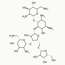 NCC1O[C@H](O[C@@H]2C(N)C[C@@H](N)C(O)[C@H]2O[C@@H]2O[C@H](CS[C@@H]3O[C@H](CO)[C@H](O)C3O)[C@H](O[C@H]3O[C@@H](CN)[C@@H](O)C(O)C3N)C2O)C(N)[C@@H](O)[C@@H]1O